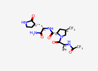 CC(C)[C@H](NC(=O)C(F)(F)F)C(=O)N1C[C@H](C(F)(F)F)C[C@H]1C(=O)N[C@@H](C[C@@H]1CCNC1=O)C(N)=O